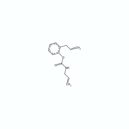 C=CCNC(=O)Oc1ccccc1CC=C